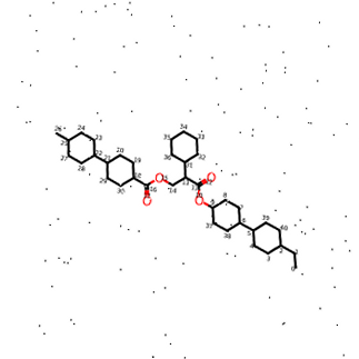 CCC1CCC(C2CCC(OC(=O)C(COC(=O)C3CCC(C4CCC(C)CC4)CC3)C3CCCCC3)CC2)CC1